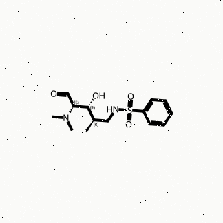 C[C@H](CNS(=O)(=O)c1ccccc1)[C@@H](O)[C@@H](C=O)N(C)C